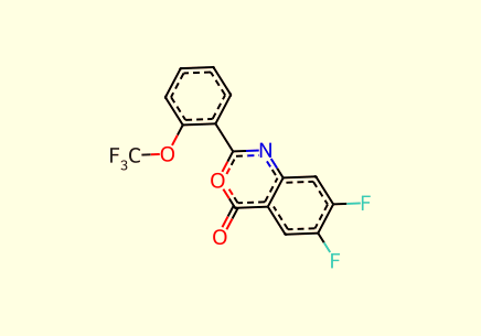 O=c1oc(-c2ccccc2OC(F)(F)F)nc2cc(F)c(F)cc12